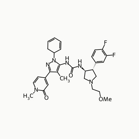 COCCN1C[C@@H](NC(=O)Nc2c(C)c(-c3ccn(C)c(=O)c3)nn2C2C=CC=CC2)[C@H](c2ccc(F)c(F)c2)C1